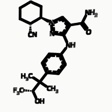 CC(C)(c1ccc(Nc2nn([C@@H]3CCCC[C@H]3C#N)cc2C(N)=O)cc1)[C@H](O)C(F)(F)F